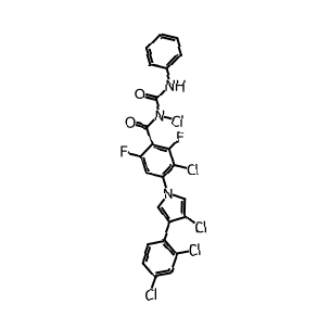 O=C(Nc1ccccc1)N(Cl)C(=O)c1c(F)cc(-n2cc(Cl)c(-c3ccc(Cl)cc3Cl)c2)c(Cl)c1F